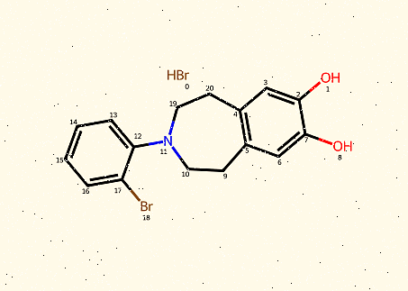 Br.Oc1cc2c(cc1O)CCN(c1ccccc1Br)CC2